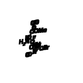 COc1cc(-c2cnc(N)c(-c3ccc(NC(=O)c4cn(CC5CCOCC5)cc(-c5ccc(Br)cc5F)c4=O)cc3F)c2)ccc1OCC1COCCO1